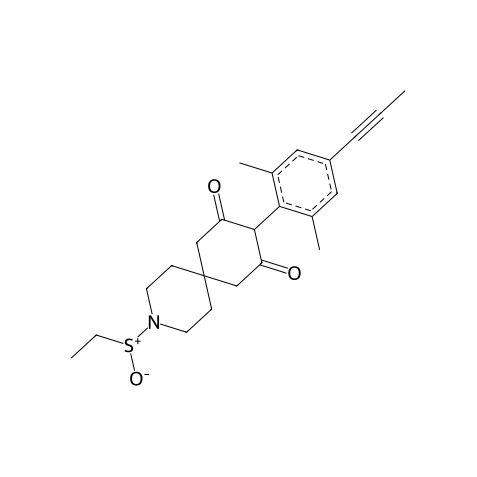 CC#Cc1cc(C)c(C2C(=O)CC3(CCN([S+]([O-])CC)CC3)CC2=O)c(C)c1